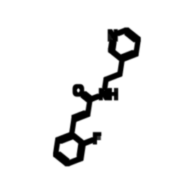 O=C(/C=C/c1ccccc1F)NCCc1cccnc1